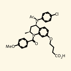 COc1ccc(C(=O)N2c3cc(OCCCC(=O)O)ccc3[C@H](N(C(C)=O)c3ccc(Cl)cc3)C[C@@H]2C)cc1